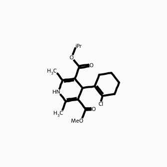 COC(=O)C1=C(C)NC(C)=C(C(=O)OC(C)C)C1C1=C(Cl)CCCC1